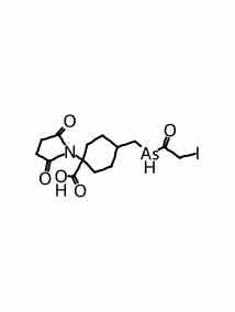 O=C(CI)[AsH]CC1CCC(C(=O)O)(N2C(=O)CCC2=O)CC1